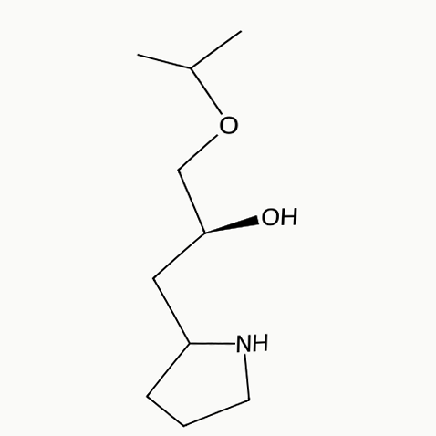 CC(C)OC[C@@H](O)CC1CCCN1